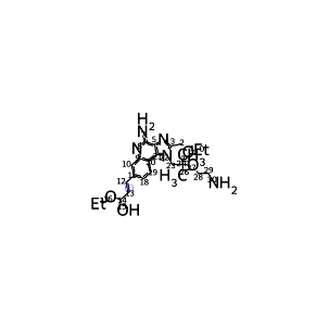 CCOCc1nc2c(N)nc3cc(/C=C/C(O)OCC)ccc3c2n1CC(C)(C)OCCN